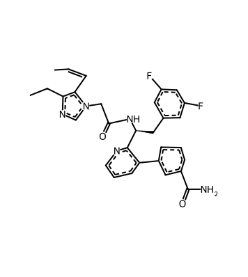 C/C=C\c1c(CC)ncn1CC(=O)N[C@@H](Cc1cc(F)cc(F)c1)c1ncccc1-c1cccc(C(N)=O)c1